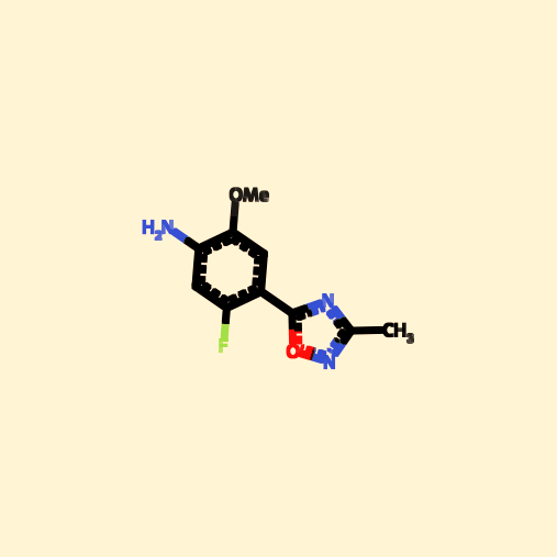 COc1cc(-c2nc(C)no2)c(F)cc1N